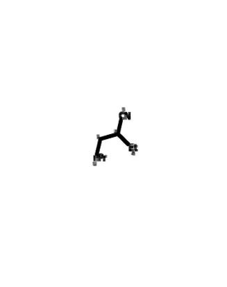 [CH2]CCCC(C#N)CC